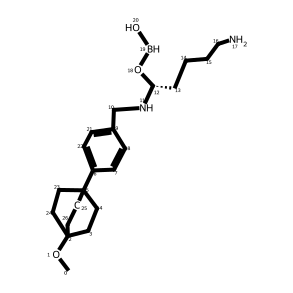 COC12CCC(c3ccc(CN[C@@H](CCCCN)OBO)cc3)(CC1)CC2